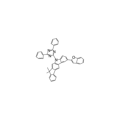 CC1(C)c2ccccc2-c2cc3c4cc(-c5cc6ccccc6o5)ccc4n(-c4nc(-c5ccccc5)nc(-c5ccccc5)n4)c3cc21